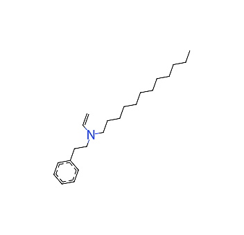 C=CN(CCCCCCCCCCCC)CCc1ccccc1